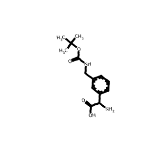 CC(C)(C)OC(=O)NCc1cccc(C(N)C(=O)O)c1